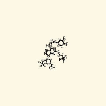 CC1(C)OC2C(CO)CC(n3nnc4c(NC5CC5c5ccc(F)c(F)c5)nc(SCCC(F)(F)F)nc43)C2O1